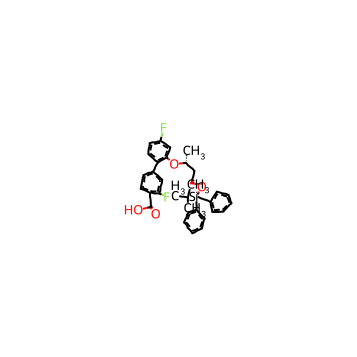 C[C@H](CCO[Si](c1ccccc1)(c1ccccc1)C(C)(C)C)Oc1cc(F)ccc1-c1ccc(C(=O)O)c(F)c1